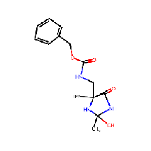 CC(C)C1(CNC(=O)OCc2ccccc2)NC(C)(O)NC1=O